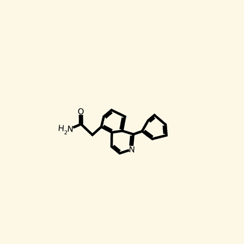 NC(=O)Cc1cccc2c(-c3ccccc3)nccc12